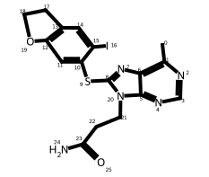 Cc1ncnc2c1nc(Sc1cc3c(cc1I)CCO3)n2CCC(N)=O